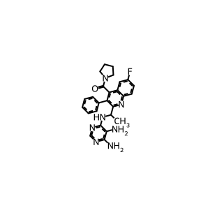 CC(Nc1ncnc(N)c1N)c1nc2ccc(F)cc2c(C(=O)N2CCCC2)c1-c1ccccc1